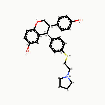 Oc1ccc([C@@H]2COc3ccc(O)cc3[C@@H]2c2ccc(SCCN3CCCC3)cc2)cc1